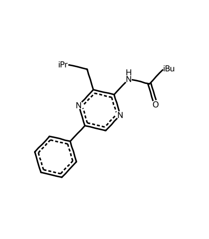 CCC(C)C(=O)Nc1ncc(-c2ccccc2)nc1CC(C)C